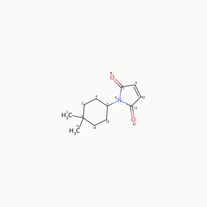 CC1(C)CCC(N2C(=O)C=CC2=O)CC1